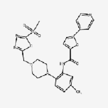 CS(=O)(=O)c1nnc(CN2CCN(c3ccc(C(F)(F)F)cc3NC(=O)c3ccc(-c4ccncc4)o3)CC2)o1